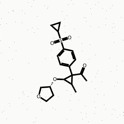 CC(=O)C1(c2ccc(S(=O)(=O)C3CC3)cc2)C(C)C1O[C@@H]1CCOC1